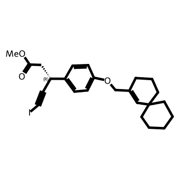 COC(=O)C[C@@H](C#CI)c1ccc(OCC2=CC3(CCCCC3)CCC2)cc1